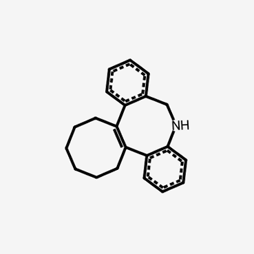 c1ccc2c(c1)CNc1ccccc1/C1=C\2CCCCCC1